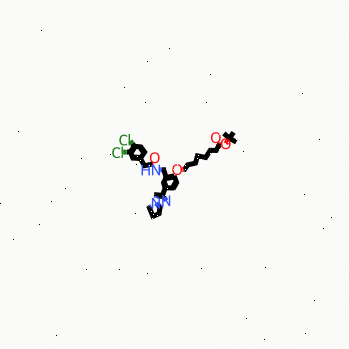 CC(C)(C)OC(=O)CCCCCCCOc1ccc(-c2cn3c(n2)CCC3)cc1CNC(=O)Cc1ccc(Cl)c(Cl)c1